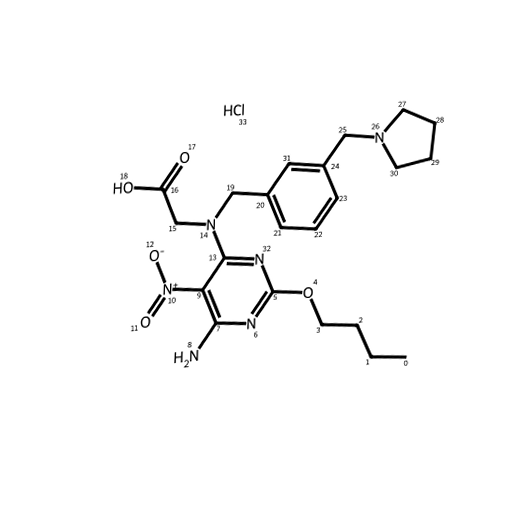 CCCCOc1nc(N)c([N+](=O)[O-])c(N(CC(=O)O)Cc2cccc(CN3CCCC3)c2)n1.Cl